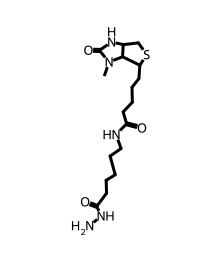 CN1C(=O)NC2CSC(CCCCC(=O)NCCCCCC(=O)NN)C21